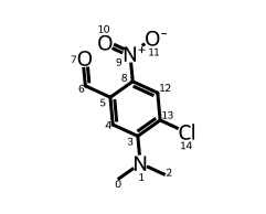 CN(C)c1cc(C=O)c([N+](=O)[O-])cc1Cl